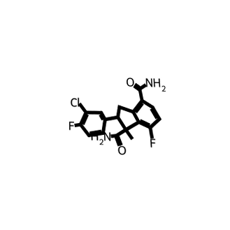 CC1(C(N)=O)c2c(F)ccc(C(N)=O)c2CC1c1ccc(F)c(Cl)c1